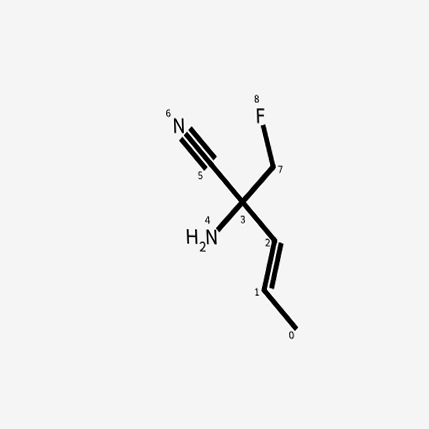 CC=CC(N)(C#N)CF